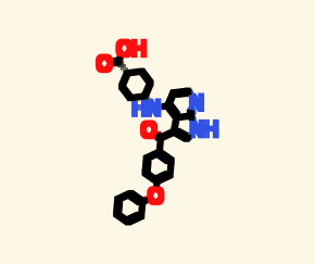 O=C(c1ccc(Oc2ccccc2)cc1)c1c[nH]c2nccc(N[C@H]3CC[C@@H](C(=O)O)CC3)c12